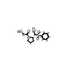 CC(C)(C)OC(=O)N1CCC[C@H]1C(N)S(=O)(=O)c1ccccc1